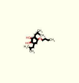 CCCCOc1cc(CC(C)C)c(O)c(O)c1CC(C)C